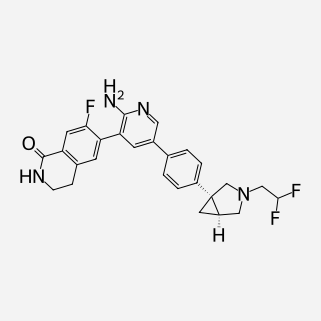 Nc1ncc(-c2ccc([C@@]34C[C@@H]3CN(CC(F)F)C4)cc2)cc1-c1cc2c(cc1F)C(=O)NCC2